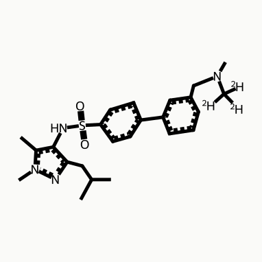 [2H]C([2H])([2H])N(C)Cc1cccc(-c2ccc(S(=O)(=O)Nc3c(CC(C)C)nn(C)c3C)cc2)c1